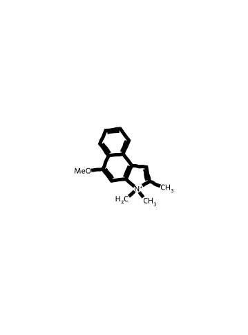 COc1cc2c(c3ccccc13)C=C(C)[N+]2(C)C